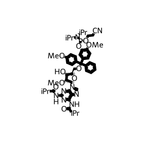 COc1ccc(C(OC[C@H]2O[C@@H](n3cnc4c(NC(=O)C(C)C)nc(NC(=O)C(C)C)nc43)[C@H](OC)[C@@H]2O)(c2ccccc2)c2ccc(OC)c(OP(OCCC#N)N(C(C)C)C(C)C)c2)cc1